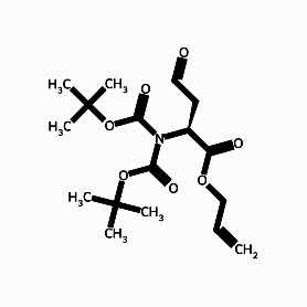 C=CCOC(=O)[C@H](CC=O)N(C(=O)OC(C)(C)C)C(=O)OC(C)(C)C